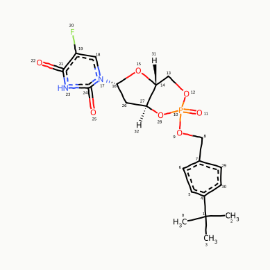 CC(C)(C)c1ccc(COP2(=O)OC[C@H]3O[C@@H](n4cc(F)c(=O)[nH]c4=O)C[C@@H]3O2)cc1